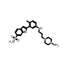 Cc1ccc(NCCCN2CCN(N)CC2)cc1-c1cc2ccc(S(N)(=O)=O)cc2s1